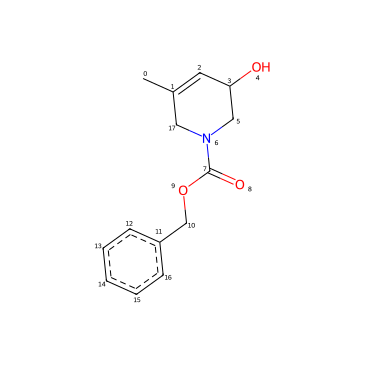 CC1=CC(O)CN(C(=O)OCc2ccccc2)C1